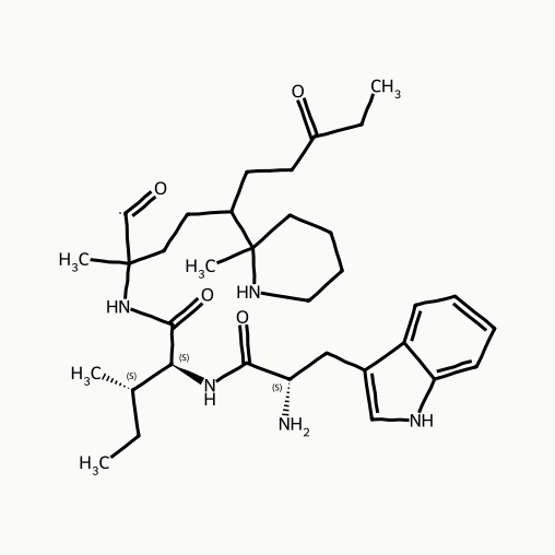 CCC(=O)CCC(CCC(C)([C]=O)NC(=O)[C@@H](NC(=O)[C@@H](N)Cc1c[nH]c2ccccc12)[C@@H](C)CC)C1(C)CCCCN1